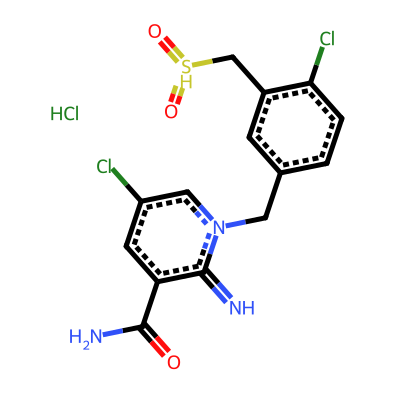 Cl.N=c1c(C(N)=O)cc(Cl)cn1Cc1ccc(Cl)c(C[SH](=O)=O)c1